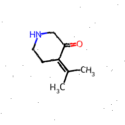 CC(C)=C1CCNCC1=O